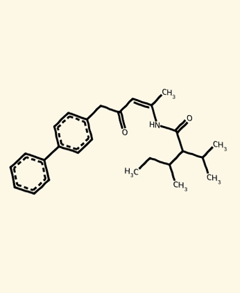 CCC(C)C(C(=O)N/C(C)=C\C(=O)Cc1ccc(-c2ccccc2)cc1)C(C)C